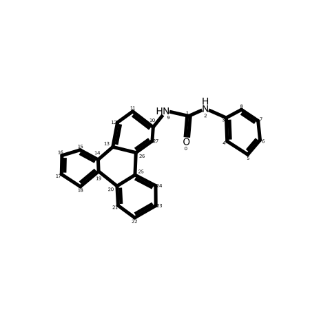 O=C(Nc1ccccc1)Nc1ccc2c3ccccc3c3ccccc3c2c1